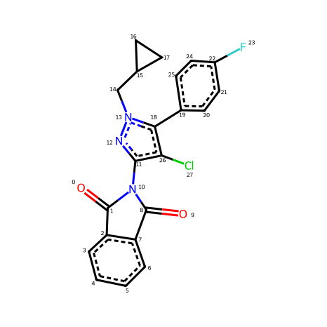 O=C1c2ccccc2C(=O)N1c1nn(CC2CC2)c(-c2ccc(F)cc2)c1Cl